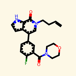 C=CCCn1cc(-c2ccc(F)c(C(=O)N3CCOCC3)c2)c2cc[nH]c2c1=O